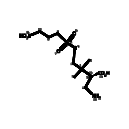 CC(C)(COS(=O)(=O)CCCS(=O)(=O)O)[C@@H](CN)C(=O)O